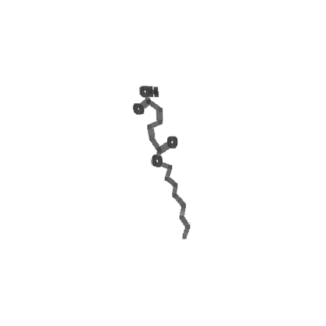 CCCCCCCCOC(=O)/C=C\C=C/C(=O)O